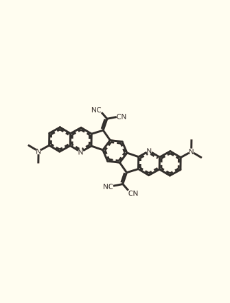 CN(C)c1ccc2cc3c(nc2c1)-c1cc2c(cc1C3=C(C#N)C#N)-c1nc3cc(N(C)C)ccc3cc1C2=C(C#N)C#N